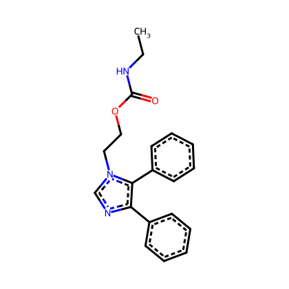 CCNC(=O)OCCn1cnc(-c2ccccc2)c1-c1ccccc1